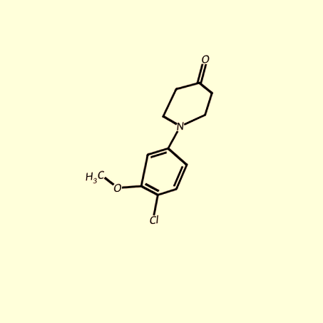 COc1cc(N2CCC(=O)CC2)ccc1Cl